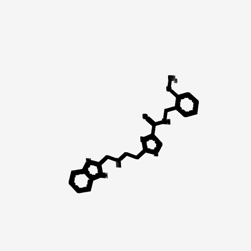 O=C(NCc1ccccc1OC(F)(F)F)c1csc(CCNCc2nc3ccccc3[nH]2)n1